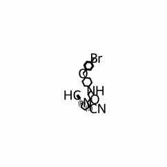 C#C[C@H]1CC[C@@H](C#N)N1C(=O)CN[C@H]1CC[C@H](Oc2ccc(Br)cc2)CC1